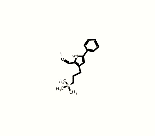 C[N+](C)(C)CCCc1cc(-c2ccccc2)[nH]c1C=O.[I-]